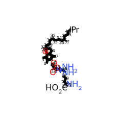 Cc1c(C)c2c(c(C)c1OCC(=O)O/N=C(\N)NCCC[C@H](N)C(=O)O)CC[C@@](C)(CCC[C@H](C)CCC[C@H](C)CCCC(C)C)O2